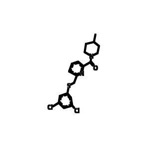 CC1CCN(C(=O)c2cccc(CSc3cc(Cl)cc(Cl)c3)n2)CC1